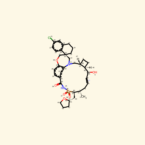 C[C@H]1C/C=C/[C@H](O)[C@@H]2CC[C@H]2CN2C[C@@]3(CCCc4cc(Cl)ccc43)COc3ccc(cc32)C(=O)NS(=O)(=O)[C@@H]1C[C@@H]1CCCO1